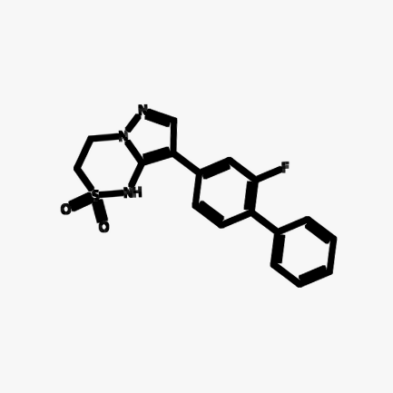 O=S1(=O)CCn2ncc(-c3ccc(-c4ccccc4)c(F)c3)c2N1